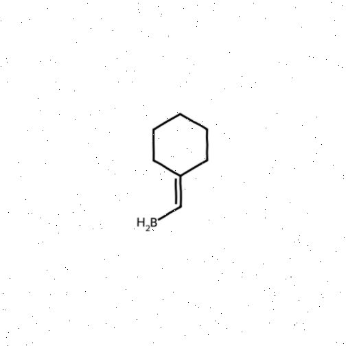 BC=C1CCCCC1